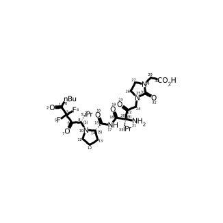 CCCCC(=O)C(F)(F)C(=O)[C@H](C(C)C)N1CCC[C@H]1C(=O)NC(=O)[C@](N)(C(=O)CN1CCN(CC(=O)O)C1=O)C(C)C